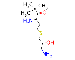 CC(C)(C)C(=O)C(N)CCSCC(O)CN